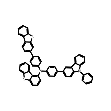 c1ccc(-n2c3ccccc3c3cc(-c4ccc(N(c5ccc(-c6ccc7c(c6)sc6ccccc67)cc5)c5cccc6sc7ccccc7c56)cc4)ccc32)cc1